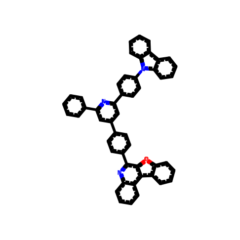 c1ccc(-c2cc(-c3ccc(-c4nc5ccccc5c5c4oc4ccccc45)cc3)cc(-c3ccc(-n4c5ccccc5c5ccccc54)cc3)n2)cc1